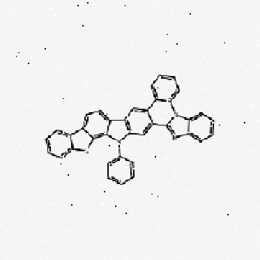 c1ccc(-n2c3cc4c(cc3c3ccc5c6ccccc6sc5c32)c2ccccc2n2c3ccccc3nc42)cc1